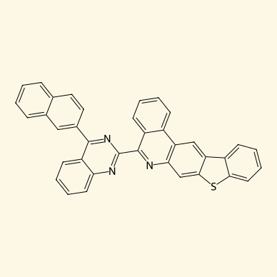 c1ccc2cc(-c3nc(-c4nc5cc6sc7ccccc7c6cc5c5ccccc45)nc4ccccc34)ccc2c1